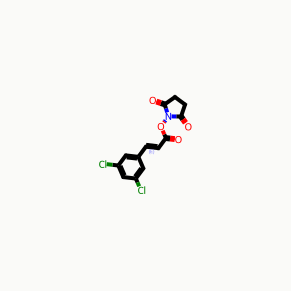 O=C(/C=C/c1cc(Cl)cc(Cl)c1)ON1C(=O)CCC1=O